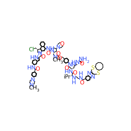 CC(C)[C@@H](NCCNC(=O)c1ccc2nc3c(nc2c1)CSC1CCCCCCC(C1)SC3)C(=O)N[C@H](CCCNC(N)=O)C(=O)Nc1ccc(COC(=O)N(C)C[C@@H]2C[C@@H](N3CCOCC3)CN2C(=O)Nc2cc3c(c4ccccc24)[C@H](CCl)CN3C(=O)c2cc3cc(NC(=O)c4ccc(N5CCN(C)CC5)cc4)ccc3[nH]2)cc1